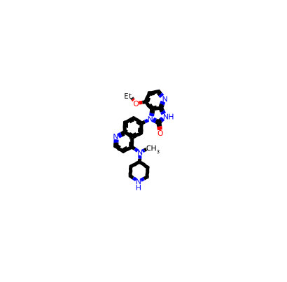 CCOc1ccnc2[nH]c(=O)n(-c3ccc4nccc(N(C)C5CCNCC5)c4c3)c12